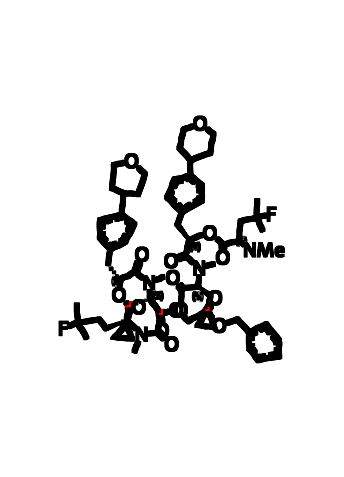 CN[C@@H](CC(C)(C)F)C(=O)O[C@H](Cc1ccc(C2CCOCC2)cc1)C(=O)N(C)[C@@H](CC1CC1)C(=O)OCC(=O)N(C)[C@@H](CCC(C)(C)F)C(=O)O[C@H](Cc1ccc(C2CCOCC2)cc1)C(=O)N(C)[C@@H](CC1CC1)C(=O)OCC(=O)OCc1ccccc1